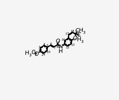 COc1ccc(/C=C/C(=O)Nc2ccc3c(c2)C=CC(C)(C)O3)cc1